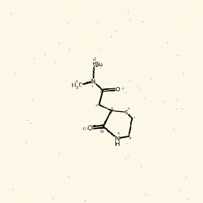 CN(C(=O)CC1SCCNC1=O)C(C)(C)C